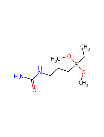 CC[Si](CCCNC(N)=O)(OC)OC